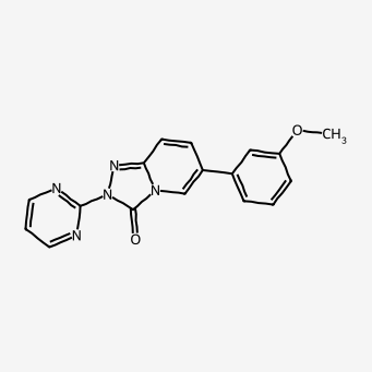 COc1cccc(-c2ccc3nn(-c4ncccn4)c(=O)n3c2)c1